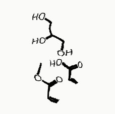 C=CC(=O)O.C=CC(=O)OC.OCC(O)CO